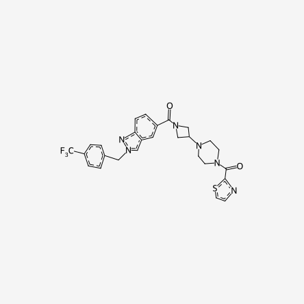 O=C(c1ccc2nn(Cc3ccc(C(F)(F)F)cc3)cc2c1)N1CC(N2CCN(C(=O)c3nccs3)CC2)C1